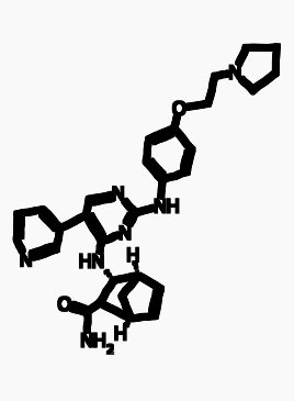 NC(=O)C1[C@@H]2C=C[C@@H](C2)[C@H]1Nc1nc(Nc2ccc(OCCN3CCCC3)cc2)ncc1-c1cccnc1